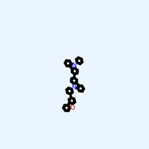 c1ccc(-n2c3ccccc3c3cc(-c4ccc5c(c4)c4ccccc4n5-c4cccc(-c5ccc6oc7ccccc7c6c5)c4)ccc32)cc1